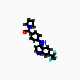 O=C(c1ccc(Nc2ccnc3cc(C(F)(F)F)ccc23)cc1)N1CCCC1